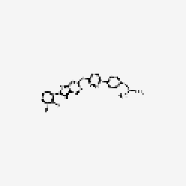 CC(C)Cc1ccc(-c2ccc(Cn3cc4nc(-c5cccc(F)c5F)nc-4cn3)nn2)cc1